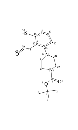 CC(C)(C)OC(=O)N1CCN(c2cccc(S)c2CC=O)CC1